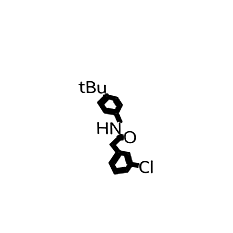 CC(C)(C)c1ccc(CNC(=O)Cc2cccc(Cl)c2)cc1